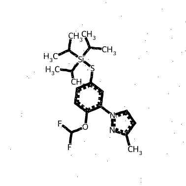 Cc1ccn(-c2cc(S[Si](C(C)C)(C(C)C)C(C)C)ccc2OC(F)F)n1